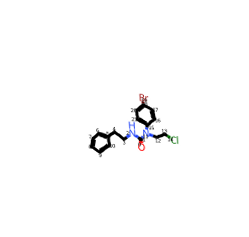 O=C(NCCc1ccccc1)N(CCCl)c1ccc(Br)cc1